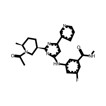 CNC(=O)c1cc(F)cc(Nc2cc(-c3cccnc3)nc([C@@H]3CC[C@H](C)N(C(C)=O)C3)n2)c1